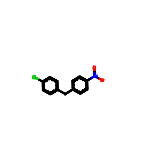 O=[N+]([O-])c1ccc([CH]c2ccc(Cl)cc2)cc1